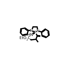 C=C(C(C)CC(=O)OCC)P1(=N)N(c2ccccc2)CCN1c1ccccc1